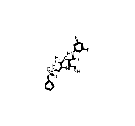 CC1OC(C(=O)Nc2cc(F)cc(F)c2)=C(C=N)NC1CNS(=O)(=O)Cc1ccccc1